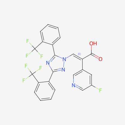 O=C(O)/C(=C/n1nc(-c2ccccc2C(F)(F)F)nc1-c1ccccc1C(F)(F)F)c1cncc(F)c1